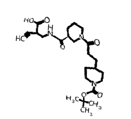 C#CC(CNC(=O)[C@H]1CCCN(C(=O)CCC2CCN(C(=O)OC(C)(C)C)CC2)C1)C(=O)O